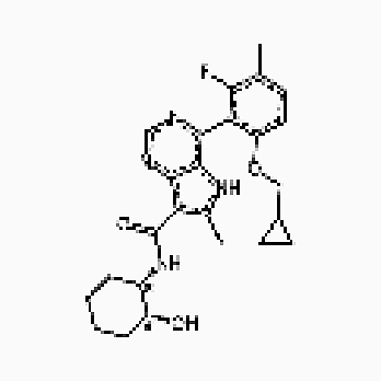 Cc1ccc(OCC2CC2)c(-c2ncnc3c(C(=O)N[C@@H]4CCCC[C@@H]4O)c(C)[nH]c23)c1F